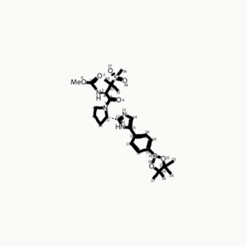 COC(=O)N[C@H](C(=O)N1CCC[C@H]1c1ncc(-c2ccc(B3OC(C)(C)C(C)(C)O3)cc2)[nH]1)C(C)(C)S(C)(=O)=O